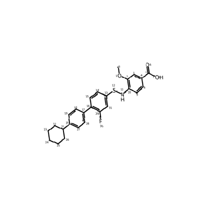 COc1cc(C(=O)O)ccc1NSc1ccc(-c2ccc(C3CCCCC3)cc2)c(F)c1